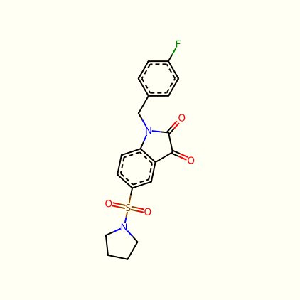 O=C1C(=O)N(Cc2ccc(F)cc2)c2ccc(S(=O)(=O)N3CCCC3)cc21